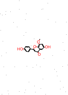 COc1cc(O)cc2c(=O)cc(-c3ccc(O)cc3)oc12